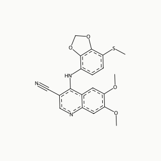 COc1cc2ncc(C#N)c(Nc3ccc(SC)c4c3OCO4)c2cc1OC